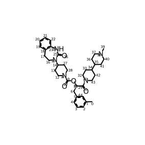 Cc1cccc(C[C@@H](OC(=O)N2CCC(N3CCc4ccccc4NC3=O)CC2)C(=O)N2CCC(C3CCN(C)CC3)CC2)c1